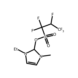 CCN1C=CN(C)C1OS(=O)(=O)C(F)(F)C(F)C(F)(F)F